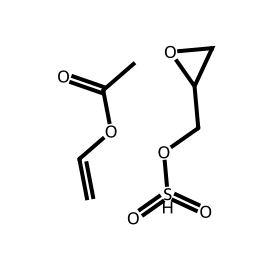 C=COC(C)=O.O=[SH](=O)OCC1CO1